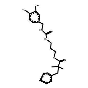 COc1cc(CNC(=S)NCCCOC(=O)C(C)(C)Cc2ccccc2)ccc1O